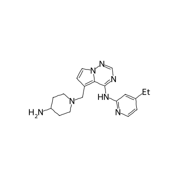 CCc1ccnc(Nc2ncnn3ccc(CN4CCC(N)CC4)c23)c1